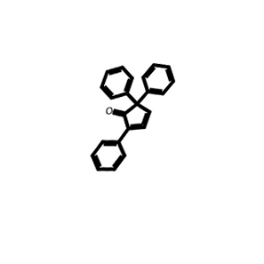 O=C1C(c2ccccc2)=C=CC1(c1ccccc1)c1ccccc1